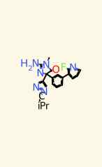 CC(C)CCn1cc(C2(c3cccc(-c4cccnc4F)c3)N=C(N)N(C)C2=O)cn1